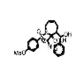 COc1ccc(S(=O)(=O)N2CC=CCC(C(O)c3ccccc3)C2(C(N)=O)C(=O)O)cc1